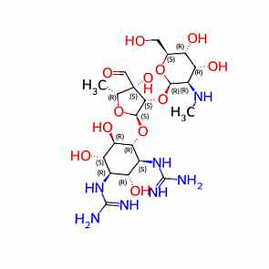 CN[C@H]1[C@@H](O[C@@H]2[C@@H](O[C@H]3[C@H](O)[C@@H](O)[C@H](NC(=N)N)[C@@H](O)[C@@H]3NC(=N)N)O[C@H](C)[C@@]2(O)C=O)O[C@@H](CO)[C@H](O)[C@@H]1O